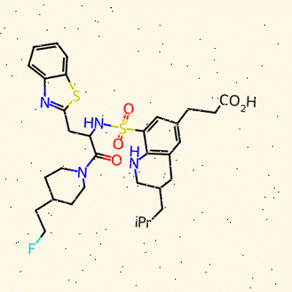 CC(C)CC1CNc2c(cc(CCC(=O)O)cc2S(=O)(=O)NC(Cc2nc3ccccc3s2)C(=O)N2CCC(CCF)CC2)C1